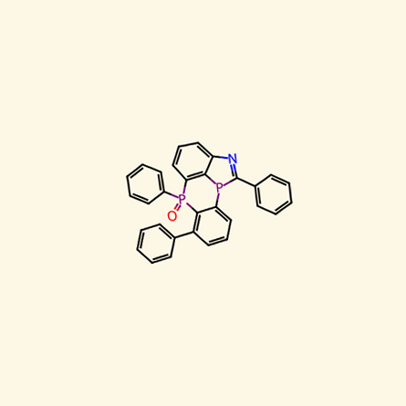 O=P1(c2ccccc2)c2c(-c3ccccc3)cccc2-p2c(-c3ccccc3)nc3cccc1c32